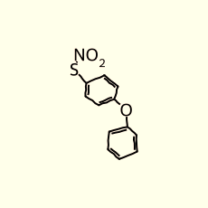 O=[N+]([O-])Sc1ccc(Oc2ccccc2)cc1